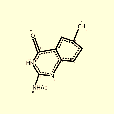 CC(=O)Nc1nc2ccc(C)cc2c(=O)[nH]1